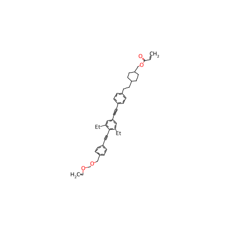 C=COCOCc1ccc(C#Cc2c(CC)cc(C#Cc3ccc(CCC4CCC(COC(=O)C=C)CC4)cc3)cc2CC)cc1